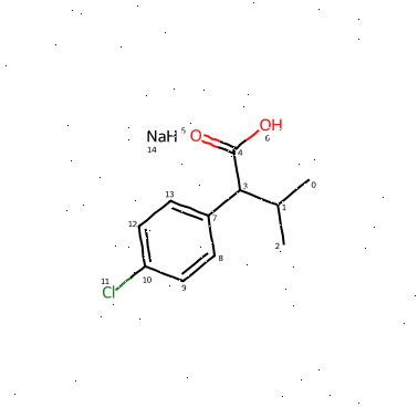 CC(C)C(C(=O)O)c1ccc(Cl)cc1.[NaH]